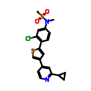 CN(c1ccc(-c2cc(-c3ccnc(C4CC4)c3)cs2)c(Cl)c1)S(C)(=O)=O